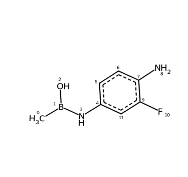 CB(O)Nc1ccc(N)c(F)c1